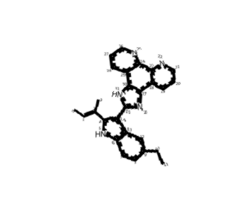 C/C=C(\C)c1[nH]c2ccc(CC)cc2c1-c1nc2c3cccnc3c3ncccc3c2[nH]1